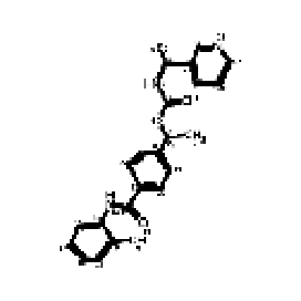 CC[C@H](NC(=O)O[C@@H](C)c1ccc(C(=O)Nc2ccccc2O)cc1)c1cccnc1